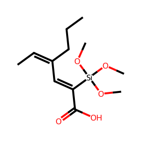 CC=C(C=C(C(=O)O)[Si](OC)(OC)OC)CCC